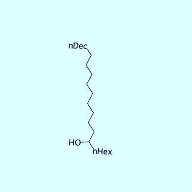 CCCCCCCCCCCCCCCCCCCC(O)CCCCCC